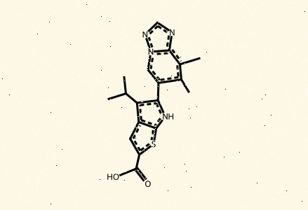 Cc1c(-c2[nH]c3sc(C(=O)O)cc3c2C(C)C)cn2ncnc2c1C